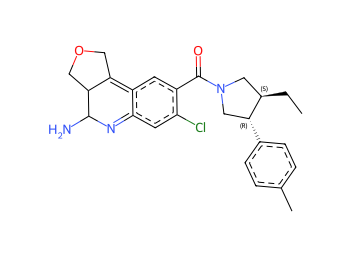 CC[C@@H]1CN(C(=O)c2cc3c(cc2Cl)=NC(N)C2COCC=32)C[C@H]1c1ccc(C)cc1